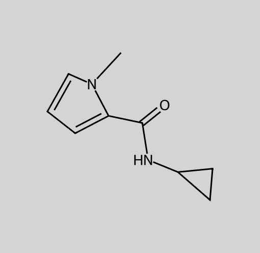 Cn1cccc1C(=O)NC1CC1